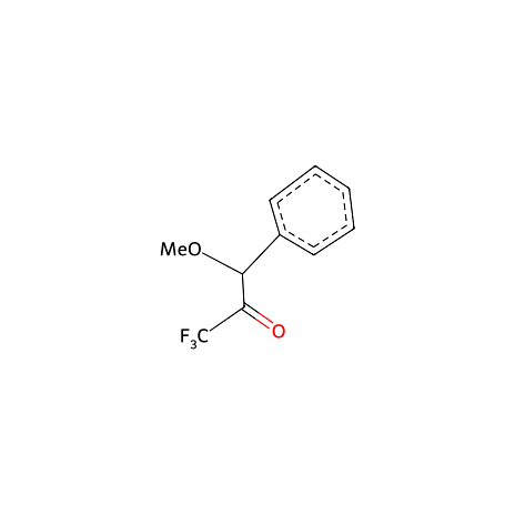 COC(C(=O)C(F)(F)F)c1ccccc1